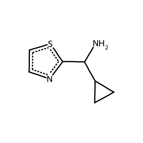 NC(c1nccs1)C1CC1